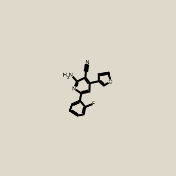 N#Cc1c(-c2ccoc2)cc(-c2ccccc2F)nc1N